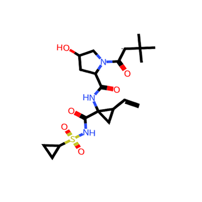 C=CC1CC1(NC(=O)C1CC(O)CN1C(=O)[CH]C(C)(C)C)C(=O)NS(=O)(=O)C1CC1